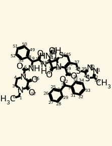 CCN1CCN(C(=O)NC(C(=O)N[C@]2(NO)C(=O)N3C(C(=O)OC(c4ccccc4)c4ccccc4)=C(CSc4nnc(C)s4)CS[C@@H]32)c2ccccc2)C(=O)C1=O